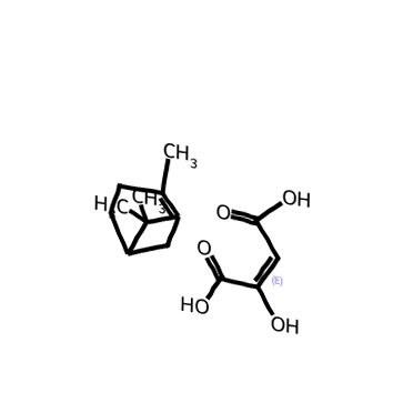 CC1=C2CC(CC1)C2(C)C.O=C(O)/C=C(/O)C(=O)O